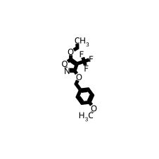 CCOc1onc(OCc2ccc(OC)cc2)c1C(F)(F)F